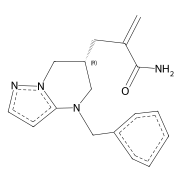 C=C(C[C@@H]1CN(Cc2ccccc2)c2ccnn2C1)C(N)=O